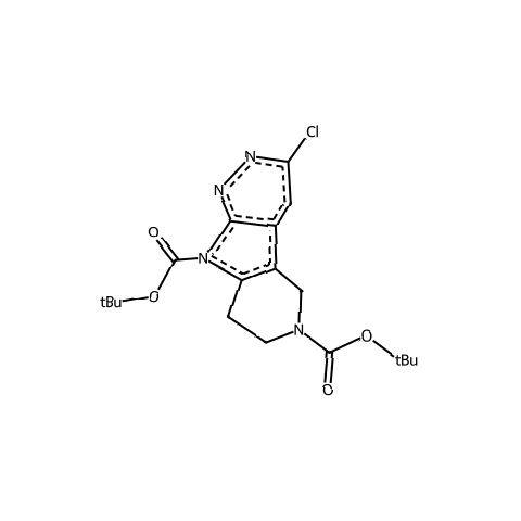 CC(C)(C)OC(=O)N1CCc2c(c3cc(Cl)nnc3n2C(=O)OC(C)(C)C)C1